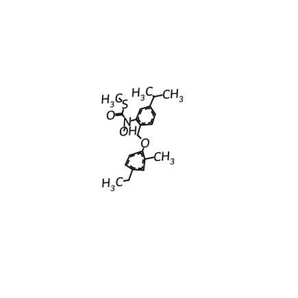 CCc1ccc(OCc2ccc(C(C)C)cc2N(O)C(=O)SC)c(C)c1